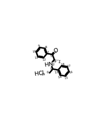 CC(N[C@@H](C)C(=O)c1ccccc1)c1ccccc1.Cl